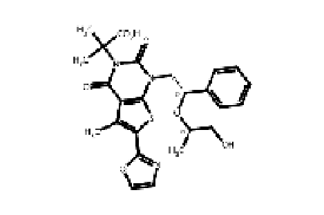 Cc1c(-c2ncco2)sc2c1c(=O)n(C(C)(C)C(=O)O)c(=O)n2C[C@@H](O[C@H](C)CO)c1ccccc1